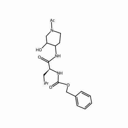 CC(=O)N1CCC(NC(=O)[C@H](CC(C)C)NC(=O)OCc2ccccc2)C(O)C1